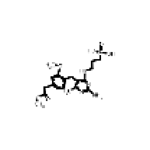 COC(=O)Cc1ccc(Cc2c(C)nc(N)nc2NCCCP(=O)(O)O)c(OC)c1